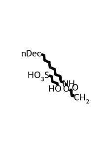 C=CC(=O)ONCCCCCCCCCCCCCCCCCC.O=S(=O)(O)CCCO